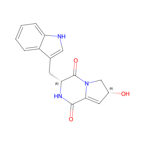 O=C1N[C@H](Cc2c[nH]c3ccccc23)C(=O)N2C[C@H](O)C=C12